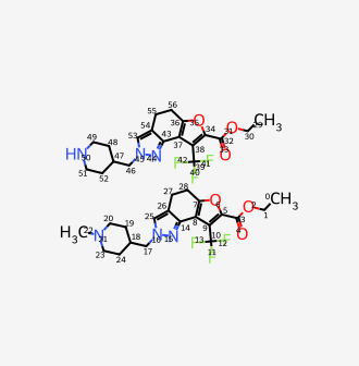 CCOC(=O)c1oc2c(c1C(F)(F)F)-c1nn(CC3CCN(C)CC3)cc1CC2.CCOC(=O)c1oc2c(c1C(F)(F)F)-c1nn(CC3CCNCC3)cc1CC2